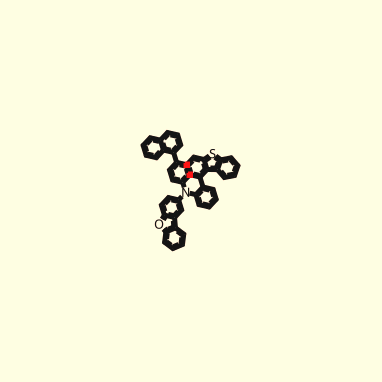 c1ccc(N(c2ccc(-c3cccc4ccccc34)cc2)c2ccc3oc4ccccc4c3c2)c(-c2cccc3sc4ccccc4c23)c1